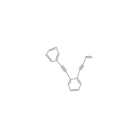 CCCCCCCCC#Cc1ccccc1C#Cc1ccccc1